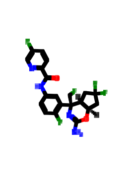 NC1=N[C@](CF)(c2cc(NC(=O)c3ccc(F)cn3)ccc2F)[C@H]2CC(F)(F)C[C@H]2O1